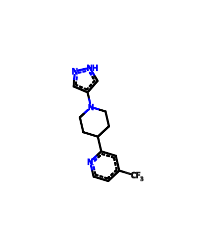 FC(F)(F)c1ccnc(C2CCN(c3cn[nH]c3)CC2)c1